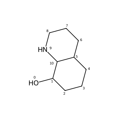 OC1CCCC2CCCNC12